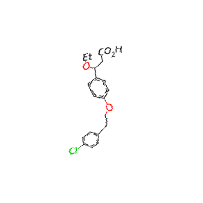 CCOC(CC(=O)O)c1ccc(OCCc2ccc(Cl)cc2)cc1